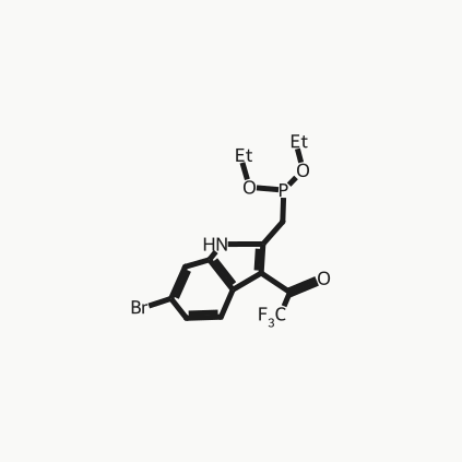 CCOP(Cc1[nH]c2cc(Br)ccc2c1C(=O)C(F)(F)F)OCC